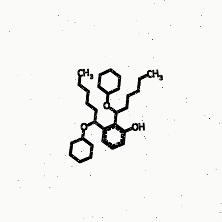 CCCCCC(OC1CCCCC1)c1cccc(O)c1C(CCCCC)OC1CCCCC1